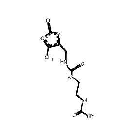 CCCC(=O)NCCNC(=O)NCc1oc(=O)oc1C